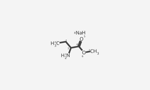 CCC(N)C(=O)OC.[NaH]